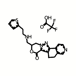 O=C(O)C(F)(F)F.O=C1OC(CNCCc2cccs2)Cn2nc3c(c21)CCc1cnccc1-3